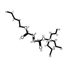 CCCCCOC(=O)N=NC(=O)O[Si](CCC)(CCC)CCC